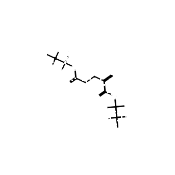 C=C(CCC(=O)OC(F)(F)C(C)(F)F)C(=O)OC(F)(F)C(C)(F)F